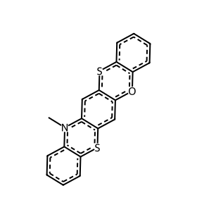 Cn1c2ccccc2sc2cc3oc4ccccc4sc3cc21